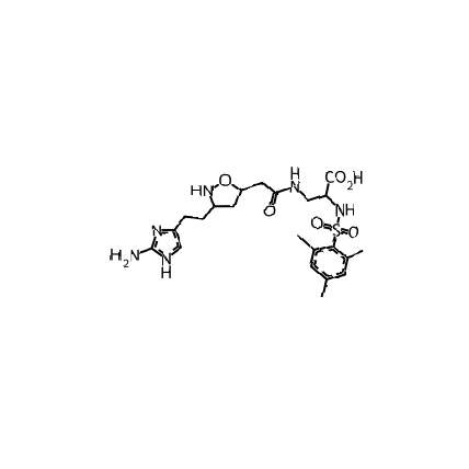 Cc1cc(C)c(S(=O)(=O)NC(CNC(=O)CC2CC(CCc3c[nH]c(N)n3)NO2)C(=O)O)c(C)c1